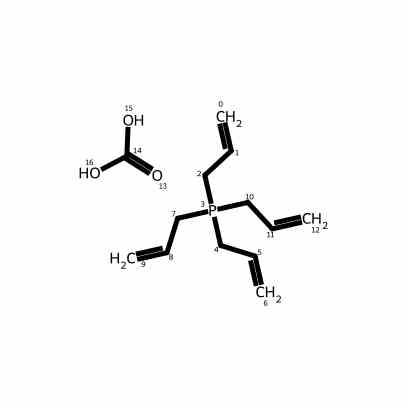 C=CC[P](CC=C)(CC=C)CC=C.O=C(O)O